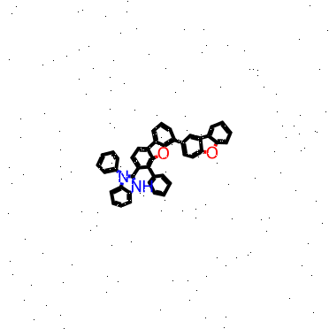 c1ccc(-c2c(C3Nc4ccccc4N3c3ccccc3)ccc3c2oc2c(-c4ccc5oc6ccccc6c5c4)cccc23)cc1